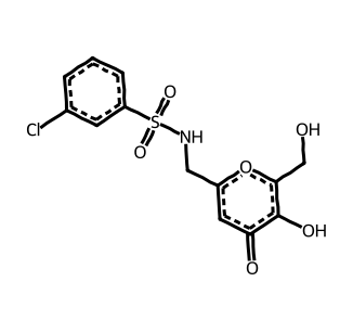 O=c1cc(CNS(=O)(=O)c2cccc(Cl)c2)oc(CO)c1O